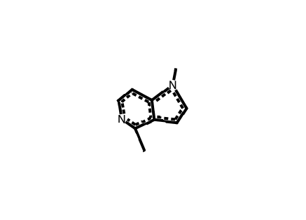 Cc1nccc2c1ccn2C